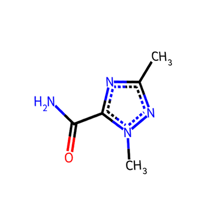 Cc1nc(C(N)=O)n(C)n1